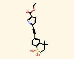 CCOC(=O)c1ccc(C#Cc2ccc3c(c2)C(C)(C)CCS3(O)O)nc1